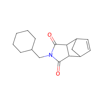 O=C1C2C3C=CC(C3)C2C(=O)N1CC1CCCCC1